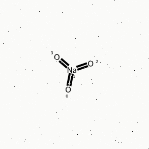 [O]=[Na](=[O])=[O]